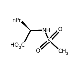 CCC[C@@H](NS(C)(=O)=O)C(=O)O